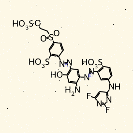 Nc1cc(O)c(/N=N/c2ccc(S(=O)(=O)CCOS(=O)(=O)O)cc2S(=O)(=O)O)cc1/N=N/c1cc(Nc2cc(F)nc(F)n2)ccc1S(=O)(=O)O